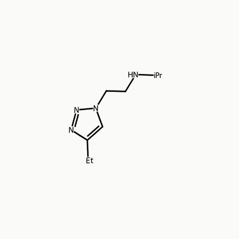 CCc1cn(CCNC(C)C)nn1